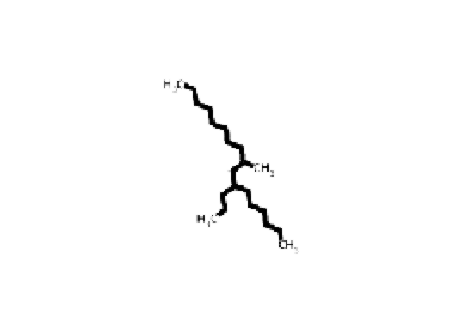 CCCCCCCCC(C)[CH]C(CCC)CCCCCC